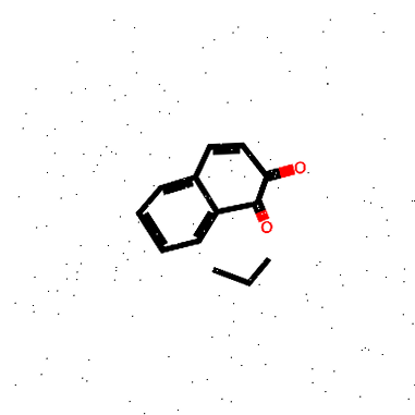 CCC.O=C1C=Cc2ccccc2C1=O